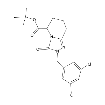 CC(C)(C)OC(=O)C1CCCc2nn(Cc3cc(Cl)cc(Cl)c3)c(=O)n21